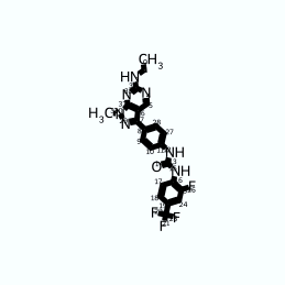 CCNc1ncc2c(-c3ccc(NC(=O)Nc4ccc(C(F)(F)F)cc4F)cc3)nn(C)c2n1